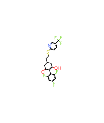 O=C1CC(CCSc2ccc(C(F)(F)F)cn2)CC(O)=C1c1c(F)cc(F)cc1F